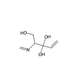 C=CC(O)(O)C(CO)N=C